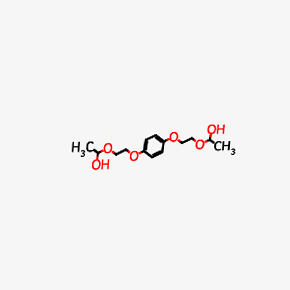 CC(O)OCCOc1ccc(OCCOC(C)O)cc1